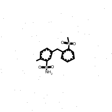 Cc1ccc(Cc2ccccc2S(C)(=O)=O)cc1S(N)(=O)=O